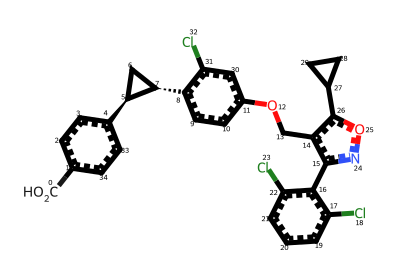 O=C(O)c1ccc([C@H]2C[C@@H]2c2ccc(OCc3c(-c4c(Cl)cccc4Cl)noc3C3CC3)cc2Cl)cc1